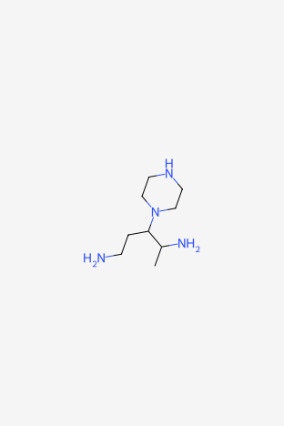 CC(N)C(CCN)N1CCNCC1